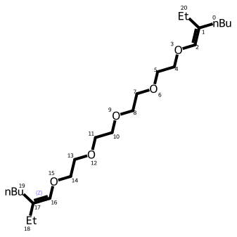 CCCCC(=COCCOCCOCCOCCO/C=C(/CC)CCCC)CC